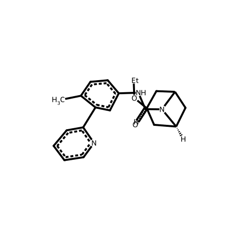 CCO[C@H]1CC2C[C@@H](C1)N2C(=O)Nc1ccc(C)c(-c2ccccn2)c1